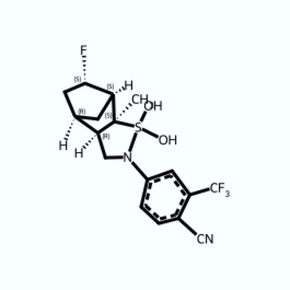 C[C@@]12[C@@H](CN(c3ccc(C#N)c(C(F)(F)F)c3)S1(O)O)[C@H]1C[C@H](F)[C@@H]2C1